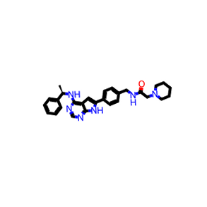 C[C@@H](Nc1ncnc2[nH]c(-c3ccc(CNC(=O)CN4CCCCC4)cc3)cc12)c1ccccc1